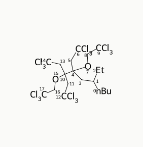 CCCCC(CC)CC(CC(Cl)(Cl)Cl)(OCC(Cl)(Cl)Cl)C(CC(Cl)(Cl)Cl)(CC(Cl)(Cl)Cl)OCC(Cl)(Cl)Cl